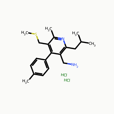 CSCc1c(C)nc(CC(C)C)c(CN)c1-c1ccc(C)cc1.Cl.Cl